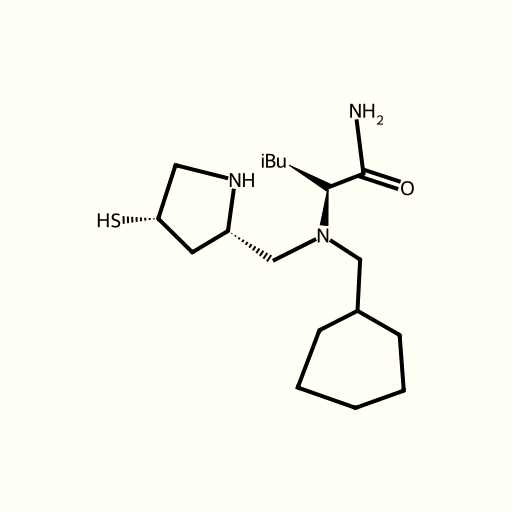 CC[C@H](C)[C@@H](C(N)=O)N(CC1CCCCC1)C[C@@H]1C[C@H](S)CN1